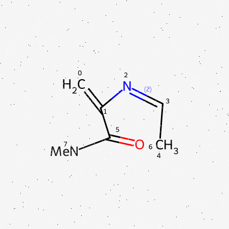 C=C(/N=C\C)C(=O)NC